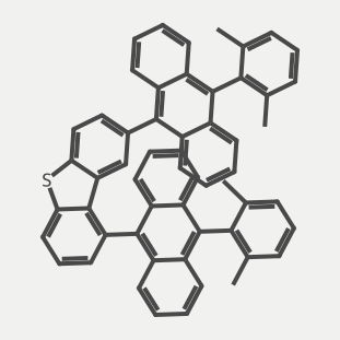 Cc1cccc(C)c1-c1c2ccccc2c(-c2ccc3sc4cccc(-c5c6ccccc6c(-c6c(C)cccc6C)c6ccccc56)c4c3c2)c2ccccc12